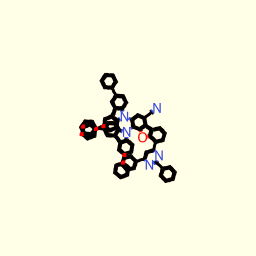 N#Cc1cc(-n2c3ccc(-c4ccccc4)cc3c3cc(-c4ccccc4)ccc32)c(-n2c3ccc(-c4ccccc4)cc3c3cc(-c4ccccc4)ccc32)c2oc3c(-c4cc(-c5ccccc5)nc(-c5ccccc5)n4)cccc3c12